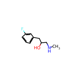 CNCC(O)Cc1cccc(F)c1